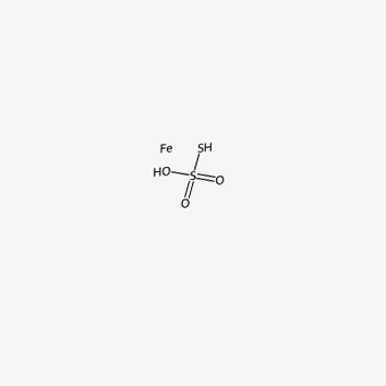 O=S(=O)(O)S.[Fe]